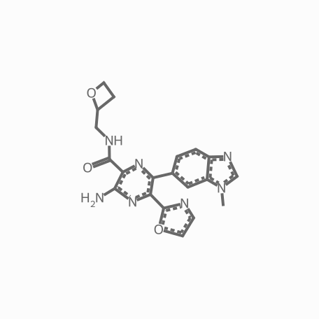 Cn1cnc2ccc(-c3nc(C(=O)NCC4CCO4)c(N)nc3-c3ncco3)cc21